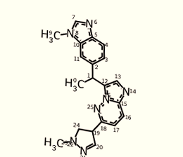 CC(c1ccc2ncn(C)c2c1)c1cnc2ccc(C3C=NN(C)C3)nn12